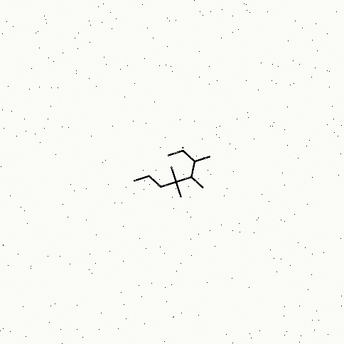 C[CH]C(C)C(C)C(C)(C)CCC